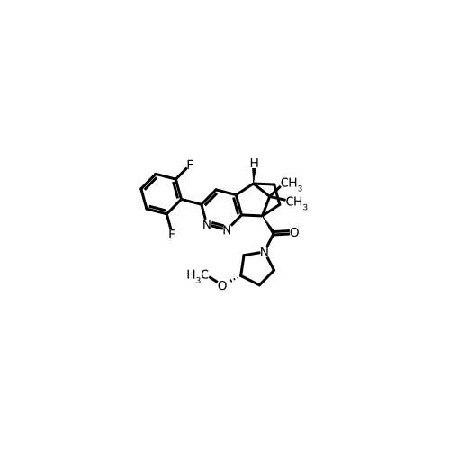 CO[C@H]1CCN(C(=O)[C@@]23CC[C@@H](c4cc(-c5c(F)cccc5F)nnc42)C3(C)C)C1